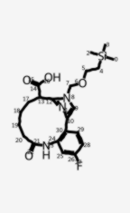 C[Si](C)(C)CCOCn1cc2nc1C(C(=O)O)CCCCC(=O)Nc1cc(F)ccc1-2